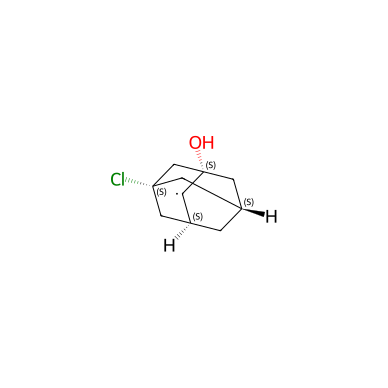 O[C@@]12[CH][C@H]3C[C@@H](C1)C[C@@](Cl)(C3)C2